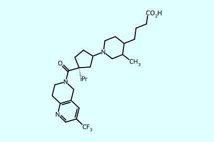 CC1CN(C2CC[C@@](C(=O)N3CCc4ncc(C(F)(F)F)cc4C3)(C(C)C)C2)CCC1CCCC(=O)O